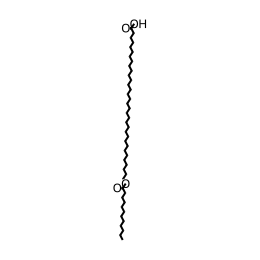 CCCCCCCCCCCC(=O)OCCCCCCCCCCCCCCCCCCCCCCCCCCCCCCCCC(=O)O